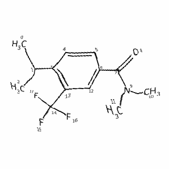 CC(C)c1ccc(C(=O)N(C)C)cc1C(F)(F)F